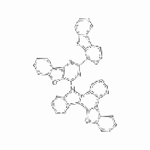 c1ccc2c(c1)oc1c(-n3c4ccccc4c4c5sc6ccccc6c5c5ccccc5c43)nc(-c3cccc4c3sc3ccccc34)nc12